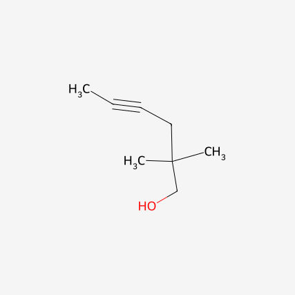 CC#CCC(C)(C)CO